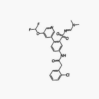 CN(C)C=NS(=O)(=O)c1cc(NC(=O)Cc2ccccc2Cl)ccc1-c1cncc(OC(F)F)c1